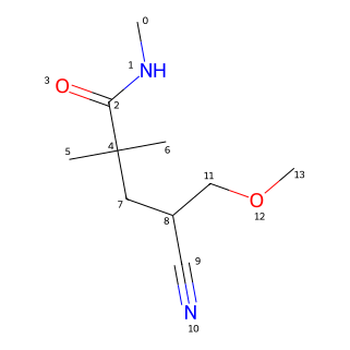 CNC(=O)C(C)(C)CC(C#N)COC